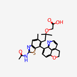 CC(=O)Nc1nc2cc(C)c(CC(C)(C)OCC(=O)O)c(-c3ccc4c5c(ccnc35)CCO4)c2s1